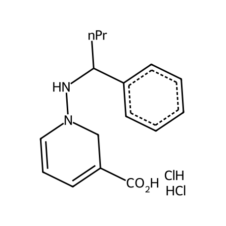 CCCC(NN1C=CC=C(C(=O)O)C1)c1ccccc1.Cl.Cl